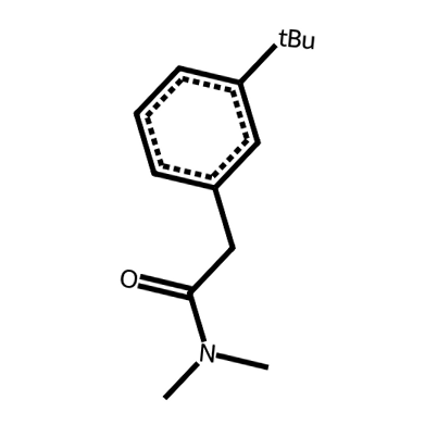 CN(C)C(=O)Cc1cccc(C(C)(C)C)c1